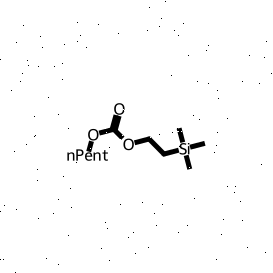 CCCCCOC(=O)OCC[Si](C)(C)C